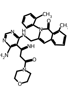 Cc1ccccc1-n1c(CNc2ncnc(N)c2C(=N)CC(=O)N2CCOCC2)cc2cccc(C)c2c1=O